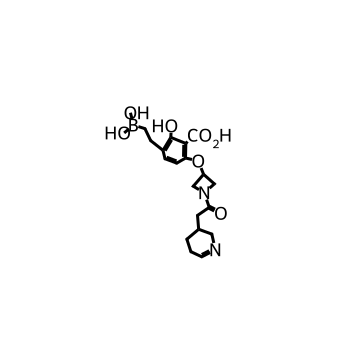 O=C(O)c1c(OC2CN(C(=O)CC3CCC=NC3)C2)ccc(CCB(O)O)c1O